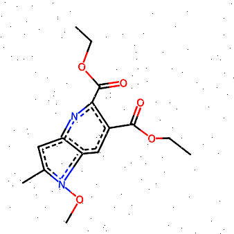 CCOC(=O)c1cc2c(cc(C)n2OC)nc1C(=O)OCC